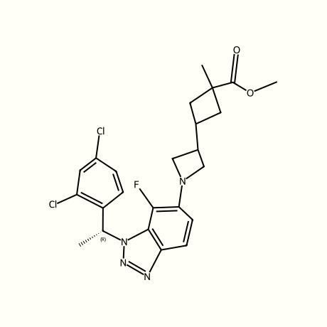 COC(=O)C1(C)CC(C2CN(c3ccc4nnn([C@H](C)c5ccc(Cl)cc5Cl)c4c3F)C2)C1